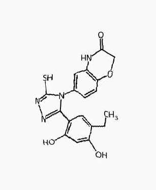 CCc1cc(-c2nnc(S)n2-c2ccc3c(c2)NC(=O)CO3)c(O)cc1O